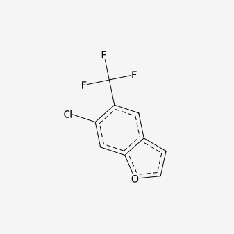 FC(F)(F)c1cc2[c]coc2cc1Cl